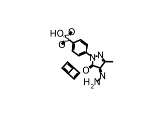 CC1=NN(c2ccc(S(=O)(=O)O)cc2)C(=O)C1=NN.c1cc2ccc1-2